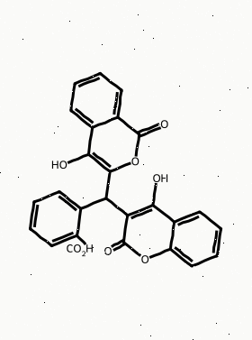 O=C(O)c1ccccc1C(c1oc(=O)c2ccccc2c1O)c1c(O)c2ccccc2oc1=O